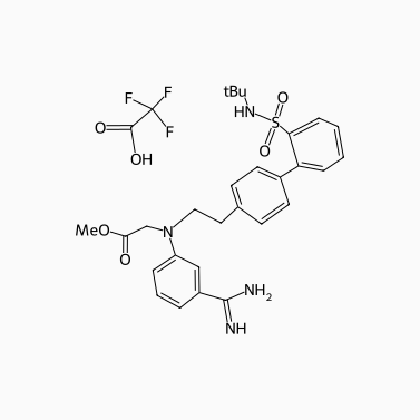 COC(=O)CN(CCc1ccc(-c2ccccc2S(=O)(=O)NC(C)(C)C)cc1)c1cccc(C(=N)N)c1.O=C(O)C(F)(F)F